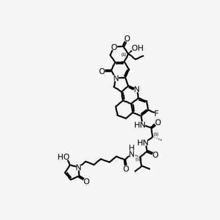 CC[C@@]1(O)C(=O)OCc2c1cc1n(c2=O)Cc2c-1nc1cc(F)c(NC(=O)[C@H](C)NC(=O)[C@@H](NC(=O)CCCCCN3C(=O)C=CC3O)C(C)C)c3c1c2CCC3